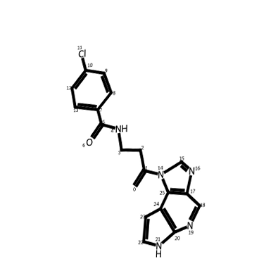 C=C(CCNC(=O)c1ccc(Cl)cc1)n1cnc2cnc3[nH]ccc3c21